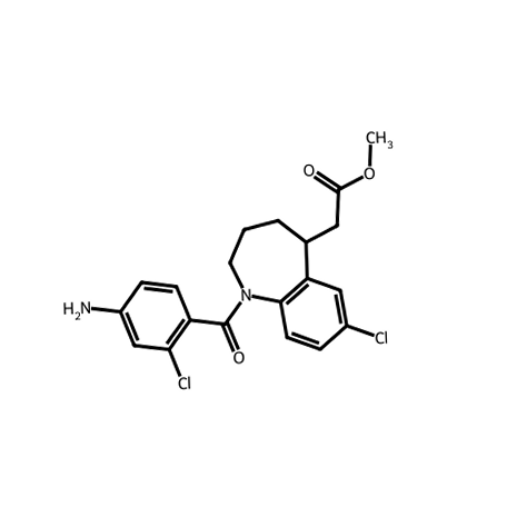 COC(=O)CC1CCCN(C(=O)c2ccc(N)cc2Cl)c2ccc(Cl)cc21